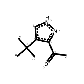 CC(=O)c1n[nH]cc1C(C)(C)C